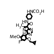 COc1cc(-c2ncnc3c(C(=O)N[C@H]4CC[C@@H](NC(=O)O)CC4)c(C)[nH]c23)c(OCC2CC2)cc1F